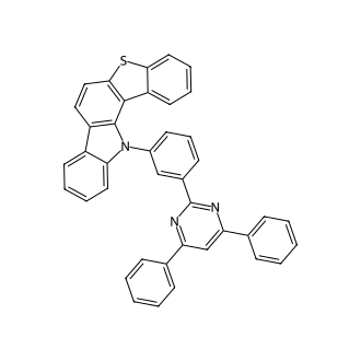 c1ccc(-c2cc(-c3ccccc3)nc(-c3cccc(-n4c5ccccc5c5ccc6sc7ccccc7c6c54)c3)n2)cc1